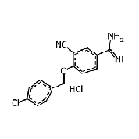 Cl.N#Cc1cc(C(=N)N)ccc1OCc1ccc(Cl)cc1